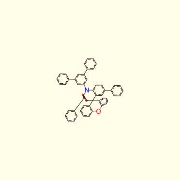 c1ccc(-c2cc(-c3ccccc3)cc(N3c4ccc(-c5ccccc5)cc4C4(c5ccccc5Oc5ccccc54)c4cc(-c5ccccc5)ccc43)c2)cc1